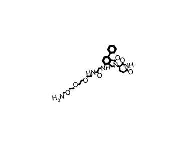 NCOCCOCCOCCNC(=O)CNc1ccc(-c2ccccc2)c2c1CN(C1CCC(=O)NC1=O)C2=O